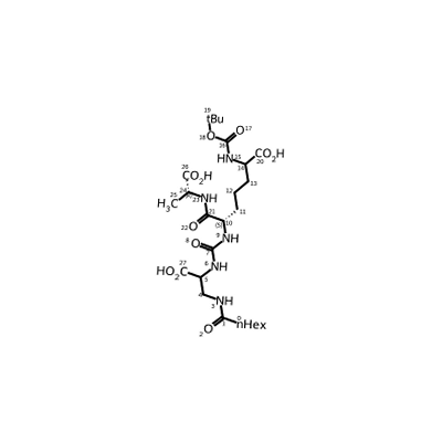 CCCCCCC(=O)NCC(NC(=O)N[C@@H](CCCC(NC(=O)OC(C)(C)C)C(=O)O)C(=O)N[C@H](C)C(=O)O)C(=O)O